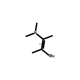 CCC(C)/C(C)=C(\C)N(C)C